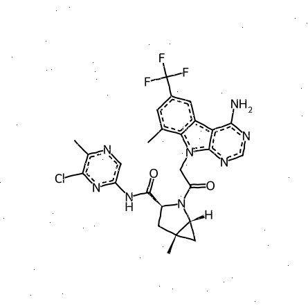 Cc1ncc(NC(=O)[C@@H]2C[C@@]3(C)C[C@H]3N2C(=O)Cn2c3ncnc(N)c3c3cc(C(F)(F)F)cc(C)c32)nc1Cl